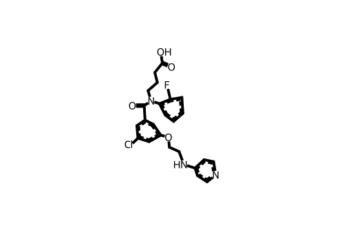 O=C(O)CCCN(C(=O)c1cc(Cl)cc(OCCNc2ccncc2)c1)c1ccccc1F